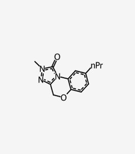 CCCc1ccc2c(c1)-n1c(nn(C)c1=O)CO2